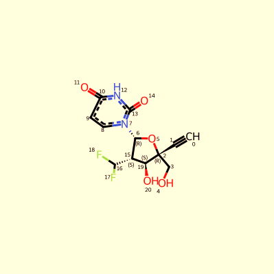 C#C[C@]1(CO)O[C@@H](n2ccc(=O)[nH]c2=O)[C@@H](C(F)F)[C@@H]1O